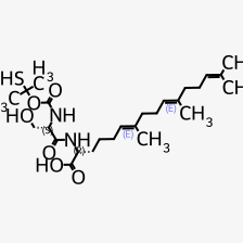 CC(C)=CCC/C(C)=C/CC/C(C)=C/CCC[C@@H](NC(=O)[C@H](CO)NC(=O)OC(C)(C)S)C(=O)O